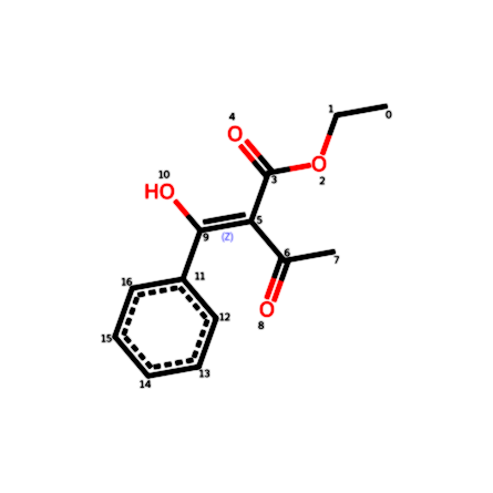 CCOC(=O)/C(C(C)=O)=C(\O)c1ccccc1